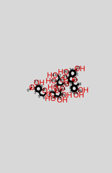 COc1cc(/C=C\C(=O)OCC2OC(OC3C(Oc4c(-c5ccc(O)c(O)c5C)oc5cc(O)cc(O)c5c4=O)OC(CO)C(O)C3O)C(O)C(O)C2O)ccc1O